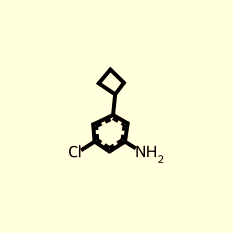 Nc1cc(Cl)cc(C2CCC2)c1